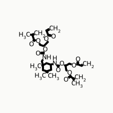 C=CC(=O)OCC(COC(=O)C(=C)C)OC(=O)NCC1(C)CC(NC(=O)OC(COC(=O)C=C)COC(=O)C(=C)C)CC(C)(C)C1